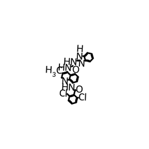 Cc1cnc2c(NC(=O)c3c(Cl)cccc3Cl)cccc2c1NC(=O)Nc1nc2ccccc2[nH]1